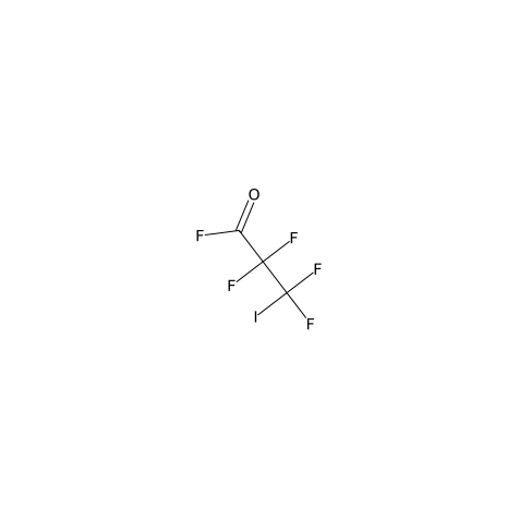 O=C(F)C(F)(F)C(F)(F)I